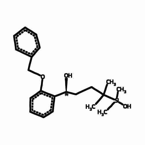 CC(C)(CC[C@H](O)c1ccccc1OCc1ccccc1)[Si](C)(C)O